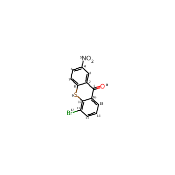 O=c1c2cc([N+](=O)[O-])ccc2sc2c(Br)cccc12